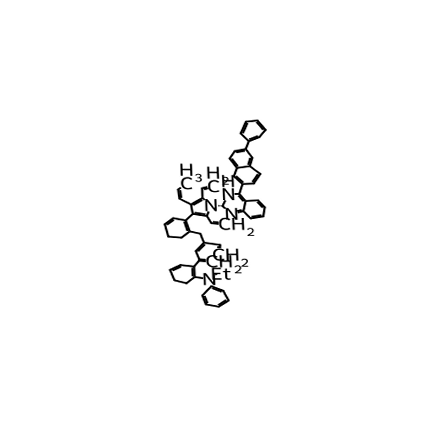 C=C/C(=C\C(=C)C1=C(N(CC)c2ccccc2)CCC=C1)CC1=C(c2c(/C=C\C)c(C=C)n([C@H]3N=c4ccccc4=C(c4ccc5cc(-c6ccccc6)ccc5c4)N3)c2C=C)C=CCC1